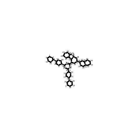 c1ccc(-c2ccc(-c3nc(-c4ccc(-c5ccccc5)cc4)nc(-c4cc(-c5ccc6ccccc6c5)cc5oc6ccccc6c45)n3)cc2)cc1